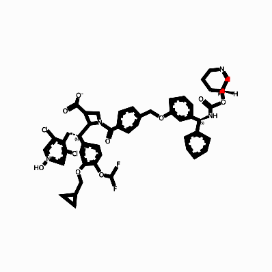 O=C(N[C@@H](c1ccccc1)c1cccc(OCc2ccc(C(=O)N3CC(C(=O)[O-])C3[C@@H](Cc3c(Cl)c[n+](O)cc3Cl)c3ccc(OC(F)F)c(OCC4CC4)c3)cc2)c1)O[C@H]1CN2CCC1CC2